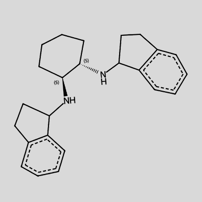 c1ccc2c(c1)CCC2N[C@H]1CCCC[C@@H]1NC1CCc2ccccc21